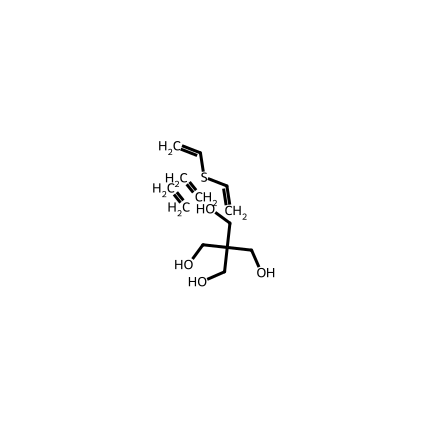 C=C.C=C.C=CSC=C.OCC(CO)(CO)CO